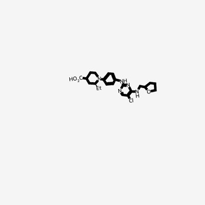 CC[C@@H]1CC(C(=O)O)CCN1c1ccc(Nc2ncc(Cl)c(NCC3CCCO3)n2)cc1